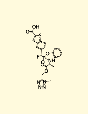 C[C@H](NP(=O)(Oc1ccccc1)C(F)c1ccc2sc(C(=O)O)cc2c1)C(=O)OCc1nnnn1C